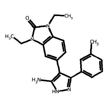 CCn1c(=O)n(CC)c2cc(-c3c(-c4cccc(C)c4)n[nH]c3N)ccc21